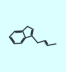 C/C=C/CC1=CCc2ccccc21